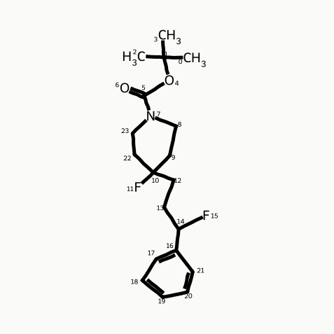 CC(C)(C)OC(=O)N1CCC(F)(CCC(F)c2ccccc2)CC1